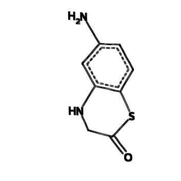 Nc1ccc2c(c1)NCC(=O)S2